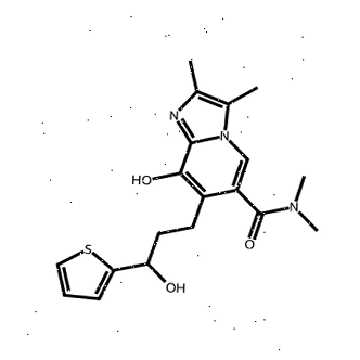 Cc1nc2c(O)c(CCC(O)c3cccs3)c(C(=O)N(C)C)cn2c1C